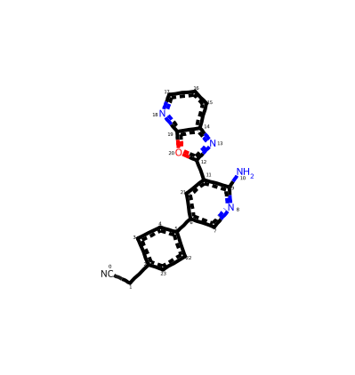 N#CCc1ccc(-c2cnc(N)c(-c3nc4cccnc4o3)c2)cc1